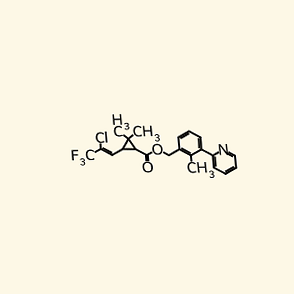 Cc1c(COC(=O)C2C(C=C(Cl)C(F)(F)F)C2(C)C)cccc1-c1ccccn1